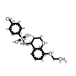 CCOc1cccc2c1OCCC2NS(=O)(=O)c1ccc(Cl)cc1